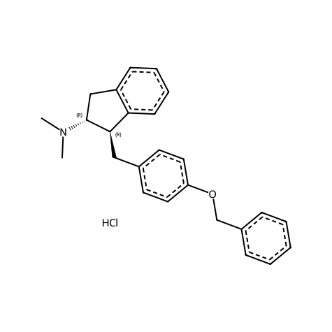 CN(C)[C@@H]1Cc2ccccc2[C@H]1Cc1ccc(OCc2ccccc2)cc1.Cl